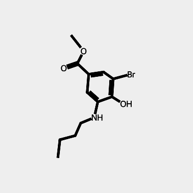 CCCCNc1cc(C(=O)OC)cc(Br)c1O